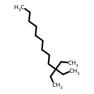 CCCCCCCCCC(CC)(CC)CC